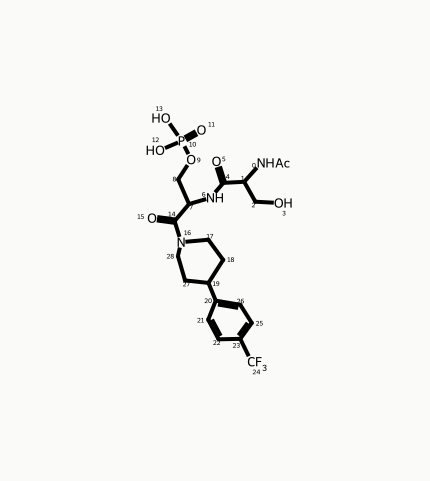 CC(=O)NC(CO)C(=O)NC(COP(=O)(O)O)C(=O)N1CCC(c2ccc(C(F)(F)F)cc2)CC1